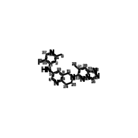 Cc1cc(Nc2cnc3c(c2)CN(c2nn4cnnc4cc2C)CC3)c(F)cn1